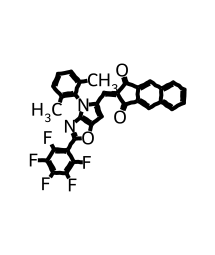 Cc1cccc(C)c1-n1c(C=C2C(=O)c3cc4ccccc4cc3C2=O)cc2oc(-c3c(F)c(F)c(F)c(F)c3F)nc21